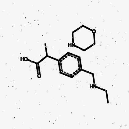 C1COCCN1.CCNCc1ccc(C(C)C(=O)O)cc1